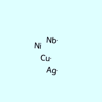 [Ag].[Cu].[Nb].[Ni]